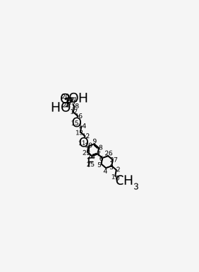 CCCC1CCC(c2ccc(OCCCOCCCP(=O)(O)O)cc2F)CC1